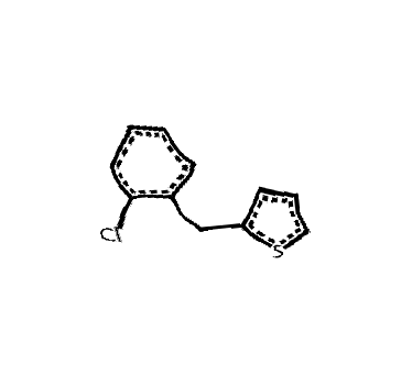 Clc1ccccc1Cc1cccs1